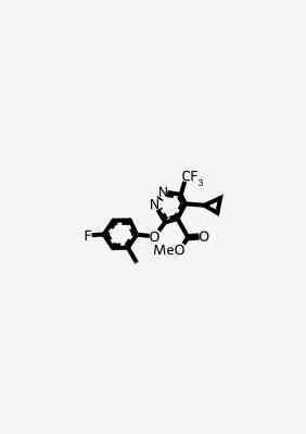 COC(=O)c1c(Oc2ccc(F)cc2C)nnc(C(F)(F)F)c1C1CC1